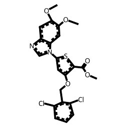 COC(=O)c1sc(-n2cnc3cc(OC)c(OC)cc32)cc1OCc1c(Cl)cccc1Cl